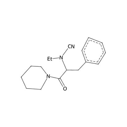 CCN(C#N)C(Cc1ccccc1)C(=O)N1CCCCC1